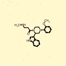 CNCCC(=O)N1CCN(c2ccccc2OC)CC1c1c[nH]c2ccccc12